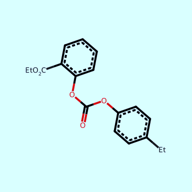 CCOC(=O)c1ccccc1OC(=O)Oc1ccc(CC)cc1